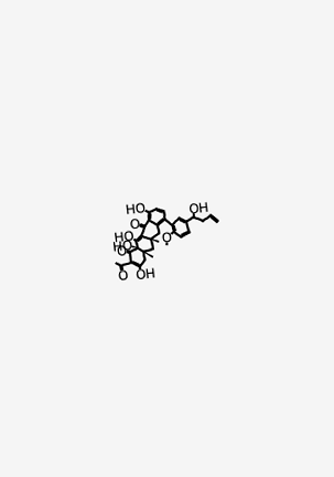 C=CCC(O)c1ccc(OC)c(-c2ccc(O)c3c2C[C@]2(C)C[C@]4(C)CC(O)=C(C(C)=O)C(=O)[C@]4(O)C(O)=C2C3=O)c1